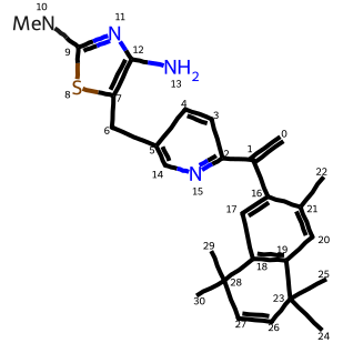 C=C(c1ccc(Cc2sc(NC)nc2N)cn1)c1cc2c(cc1C)C(C)(C)C=CC2(C)C